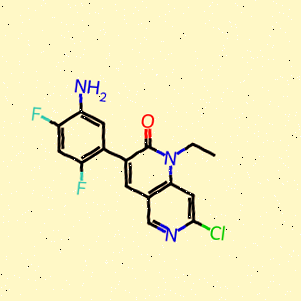 CCn1c(=O)c(-c2cc(N)c(F)cc2F)cc2cnc(Cl)cc21